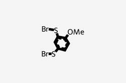 COc1ccc(SBr)cc1SBr